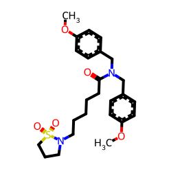 COc1ccc(CN(Cc2ccc(OC)cc2)C(=O)CCCCCN2CCCS2(=O)=O)cc1